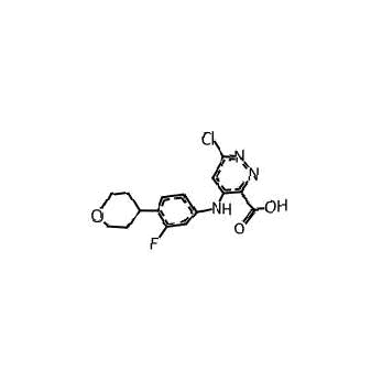 O=C(O)c1nnc(Cl)cc1Nc1ccc(C2CCOCC2)c(F)c1